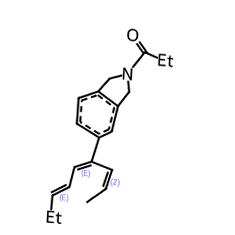 C\C=C/C(=C\C=C\CC)c1ccc2c(c1)CN(C(=O)CC)C2